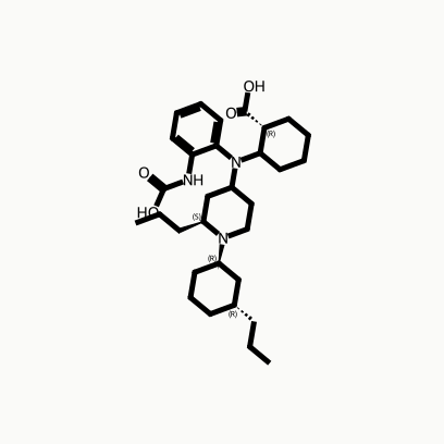 CCC[C@@H]1CCC[C@@H](N2CCC(N(c3ccccc3NC(=O)O)C3CCCC[C@H]3C(=O)O)C[C@@H]2CCC)C1